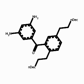 CCCCCCCCCCCCc1ccc(CCCCCCCCCCCC)c(C(=O)c2cc(N)cc(N)c2)c1